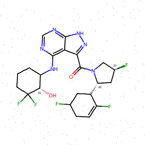 O=C(c1n[nH]c2ncnc(NC3CCCC(F)(F)[C@H]3O)c12)N1C[C@@H](F)C[C@@H]1C1CC(F)CC=C1F